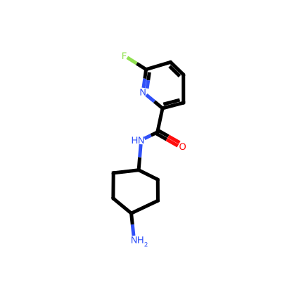 NC1CCC(NC(=O)c2cccc(F)n2)CC1